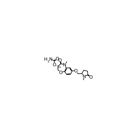 CN1C(=O)[C@@H](OC(N)=O)COc2ccc(OCC3CCC(=O)N3C)cc21